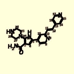 NC(=O)c1cc(-c2ccnc(/C=C/c3ccncc3)c2)[nH]c1N1CCNCC1